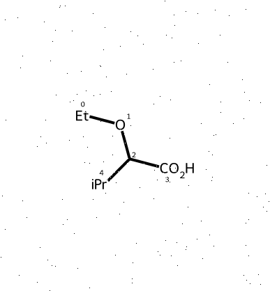 CCOC(C(=O)O)C(C)C